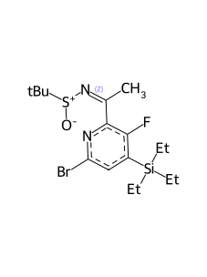 CC[Si](CC)(CC)c1cc(Br)nc(/C(C)=N\[S+]([O-])C(C)(C)C)c1F